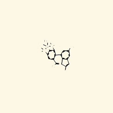 CCC1=Cc2cc(C(C)(C)C)cc(-c3c(C([NH])=O)cc4c(C)c3[Si](C)(C)[Si](C)(C)[Si]4(C)C)c2C1